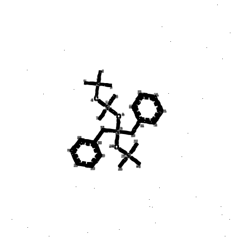 C[Si](C)(C)O[Si](C)(C)O[Si](Cc1ccccc1)(Cc1ccccc1)O[Si](C)(C)C